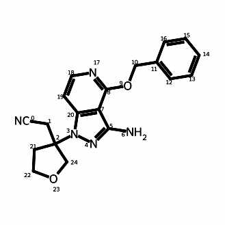 N#CCC1(n2nc(N)c3c(OCc4ccccc4)nccc32)CCOC1